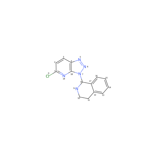 Clc1ccc2nnn(C3[N]CCc4ccccc43)c2n1